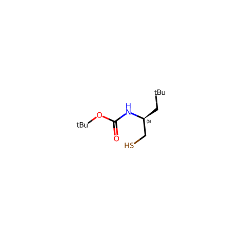 CC(C)(C)C[C@@H](CS)NC(=O)OC(C)(C)C